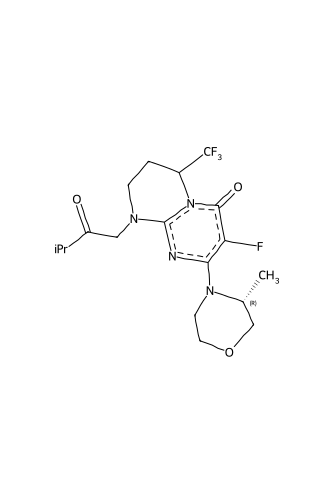 CC(C)C(=O)CN1CCC(C(F)(F)F)n2c1nc(N1CCOC[C@H]1C)c(F)c2=O